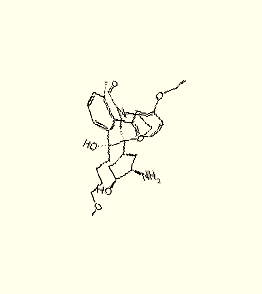 CCOc1cccc(-c2c(F)cccc2[C@](O)(CCCCOC)[C@@]2([C@H]3C[C@@H](N)[C@@H](O)C3)CN(C=O)CCO2)c1